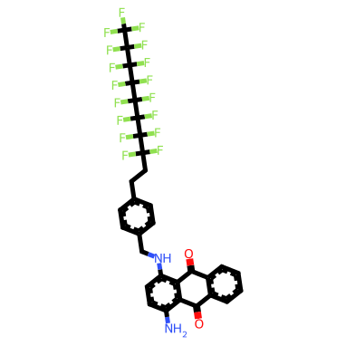 Nc1ccc(NCc2ccc(CCC(F)(F)C(F)(F)C(F)(F)C(F)(F)C(F)(F)C(F)(F)C(F)(F)C(F)(F)F)cc2)c2c1C(=O)c1ccccc1C2=O